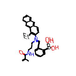 C=C(C)C(=O)NCCCN(Cc1ccccc1B(O)O)c1ccc2cc3ccccc3cc2c1CC